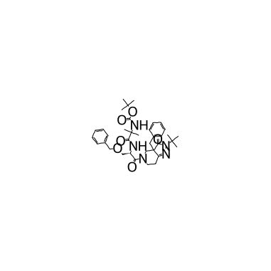 CC(C)(C)OC(=O)NC(C)(C)C(=O)N[C@H](COCc1ccccc1)C(=O)N1CCC2=NN(C(C)(C)C)C(=O)C2(Cc2ccccc2)C1